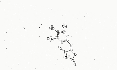 O=C1NC(=S)SC1=Cc1cc(O)c(O)c([N+](=O)[O-])c1